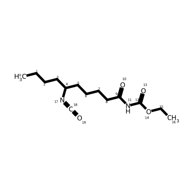 CCCCC(CCCCC(=O)NC(=O)OCC)N=C=O